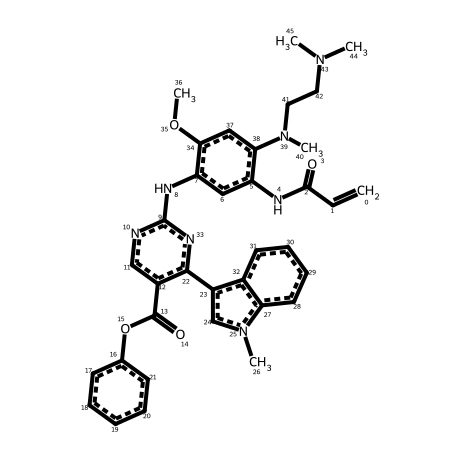 C=CC(=O)Nc1cc(Nc2ncc(C(=O)Oc3ccccc3)c(-c3cn(C)c4ccccc34)n2)c(OC)cc1N(C)CCN(C)C